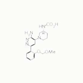 COCOc1ccccc1-c1cc(N2CCC[C@@H](NC(=O)O)C2)c(N)nn1